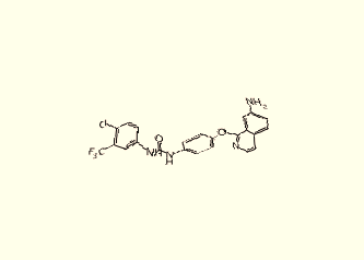 Nc1ccc2ccnc(Oc3ccc(NC(=O)Nc4ccc(Cl)c(C(F)(F)F)c4)cc3)c2c1